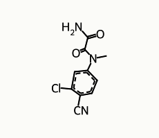 CN(C(=O)C(N)=O)c1ccc(C#N)c(Cl)c1